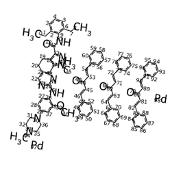 CCc1cccc(CC)c1NC(=O)c1nn(C)c2c1CCc1cnc(Nc3ccc(N4CCN(C)CC4)cc3OC)nc1-2.O=C(C=Cc1ccccc1)C=Cc1ccccc1.O=C(C=Cc1ccccc1)C=Cc1ccccc1.O=C(C=Cc1ccccc1)C=Cc1ccccc1.[Pd].[Pd]